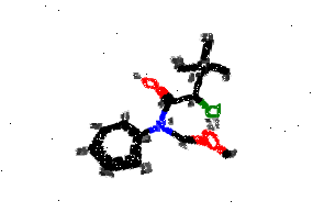 COCN(C(=O)C(Cl)[Si](C)(C)C)c1ccccc1